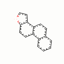 c1ccc2c(c1)ccc1c3ccoc3ccc21